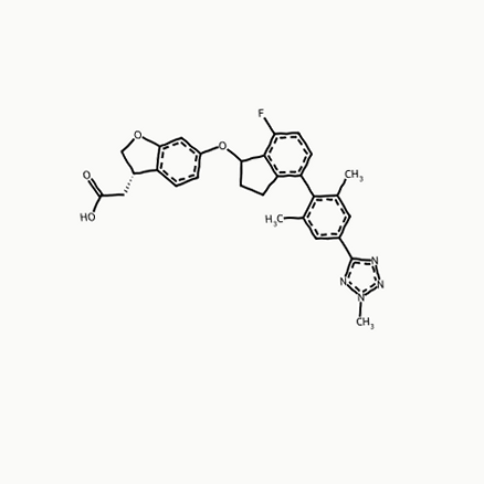 Cc1cc(-c2nnn(C)n2)cc(C)c1-c1ccc(F)c2c1CCC2Oc1ccc2c(c1)OC[C@H]2CC(=O)O